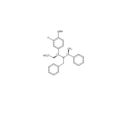 COc1ccc([C@H](CC(=O)O)N(Cc2ccccc2)[C@@H](C)c2ccccc2)cc1F